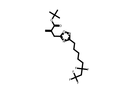 C=C(Cc1nc(CCCCCC(F)(F)CC(F)(F)F)no1)C(=O)OC(C)(C)C